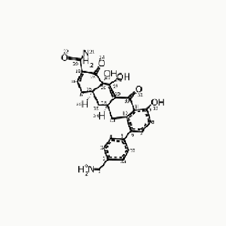 NCc1ccc(-c2ccc(O)c3c2C[C@H]2C[C@H]4CC=C(C(N)=O)C(=O)[C@@]4(O)C(O)=C2C3=O)cc1